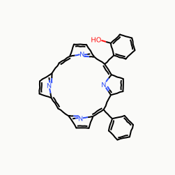 Oc1ccccc1C1=C2C=CC(=N2)C(c2ccccc2)=C2C=CC(=N2)C=C2C=CC(=N2)C=C2C=CC1=N2